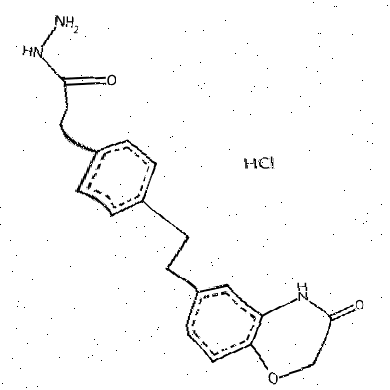 Cl.NNC(=O)Cc1ccc(CCc2ccc3c(c2)NC(=O)CO3)cc1